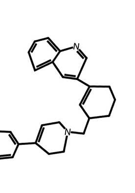 C1=C(c2cnc3ccccc3c2)CCCC1CN1CC=C(c2ccccc2)CC1